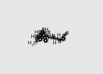 CC/N=c1\ccc2c(-c3ccccc3C(=O)N(C)CCCC(=O)NCCNC(=O)c3cccc(OCC=S)c3)c3ccc(NCC)c(S(=O)(=O)O)c3oc-2c1S(=O)(=O)O